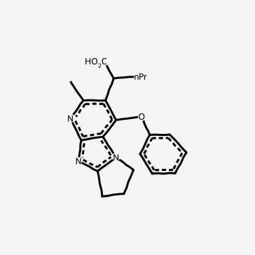 CCCC(C(=O)O)c1c(C)nc2nc3n(c2c1Oc1ccccc1)CCC3